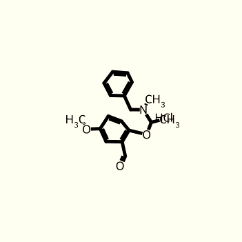 COc1ccc(OC(C)N(C)Cc2ccccc2)c(C=O)c1.Cl